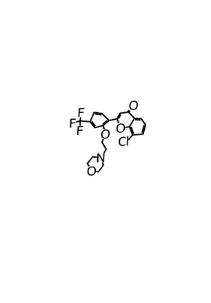 O=c1cc(-c2ccc(C(F)(F)F)cc2OCCN2CCOCC2)oc2c(Cl)cccc12